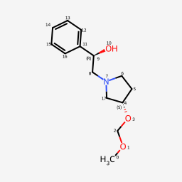 COCO[C@H]1CCN(C[C@H](O)c2ccccc2)C1